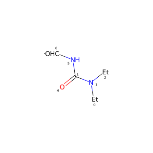 CCN(CC)C(=O)N[C]=O